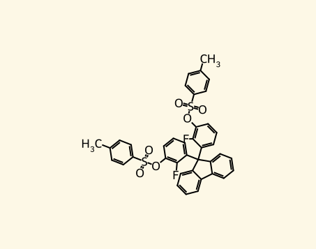 Cc1ccc(S(=O)(=O)Oc2cccc(C3(c4cccc(OS(=O)(=O)c5ccc(C)cc5)c4F)c4ccccc4-c4ccccc43)c2F)cc1